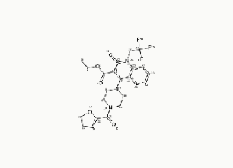 CCOC(=O)c1c(N2CCN(C(=O)C3=CCCO3)CC2)c2ccccc2n(CC(F)(F)F)c1=O